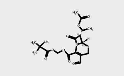 CC(=O)OC(C)[C@H]1C(=O)N2C(C(=O)OCOC(=O)C(C)(C)C)=C(C=O)CS[C@@H]12